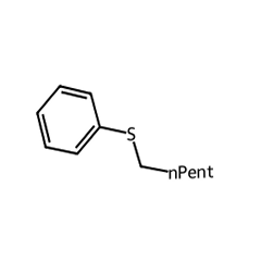 C[CH]CCCCSc1ccccc1